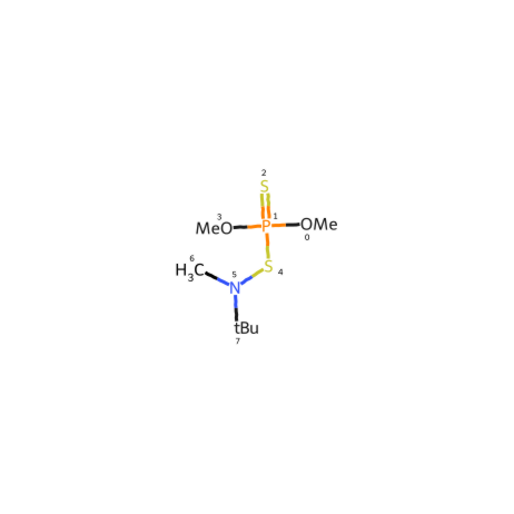 COP(=S)(OC)SN(C)C(C)(C)C